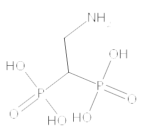 NCC(P(=O)(O)O)P(=O)(O)O